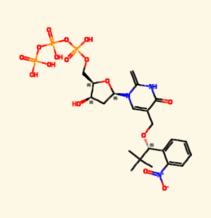 C=C1NC(=O)C(CO[C@H](c2ccccc2[N+](=O)[O-])C(C)(C)C)=CN1[C@H]1C[C@@H](O)[C@@H](COP(=O)(O)OP(=O)(O)OP(=O)(O)O)O1